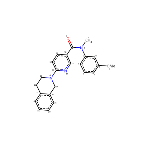 COc1cccc(N(C)C(=O)c2ccc(N3CCc4ccccc4C3)nc2)c1